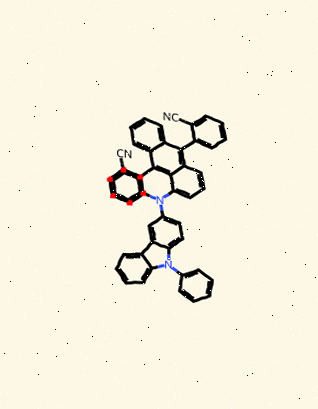 N#Cc1ccccc1-c1c2ccccc2c(-c2ccccc2C#N)c2c(N(c3ccccc3)c3ccc4c(c3)c3ccccc3n4-c3ccccc3)cccc12